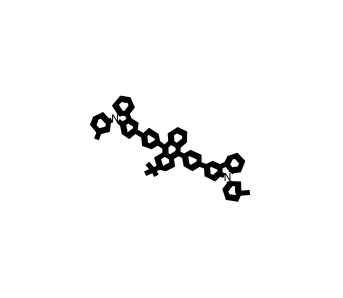 Cc1cccc(-n2c3ccccc3c3cc(-c4ccc(-c5c6ccccc6c(-c6ccc(-c7ccc8c(c7)c7ccccc7n8-c7cccc(C)c7)cc6)c6cc(C(C)(C)C)ccc56)cc4)ccc32)c1